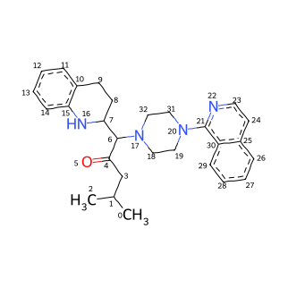 CC(C)CC(=O)C(C1CCc2ccccc2N1)N1CCN(c2nccc3ccccc23)CC1